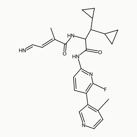 C/C(=C\C=N)C(=O)NC(C(=O)Nc1ccc(-c2cnccc2C)c(F)n1)C(C1CC1)C1CC1